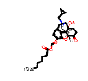 CCCCCCCCCCCCCCCC(=O)OCOc1ccc2c3c1O[C@H]1C(=O)CC[C@@]4(O)C(C2)N(CC2CC2)CC[C@]314